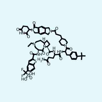 CCN1CC[C@H]2CC[C@@H](C(=O)NC(CCC(N)=O)C(=O)NC(Cc3ccc(C(C)(C)C)cc3)C(=O)N3CCC(CCC(=O)N4Cc5cc6c(cc5C4)C(=O)N(C4CCC(=O)NC4=O)C6)CC3)N2C(=O)[C@@H](NC(=O)c2cc3cc(C(F)(F)P(=O)(O)O)ccc3s2)C1